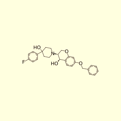 O[C@@H]1c2ccc(OCc3ccccc3)cc2OC[C@@H]1N1CCC(O)(c2ccc(F)cc2)CC1